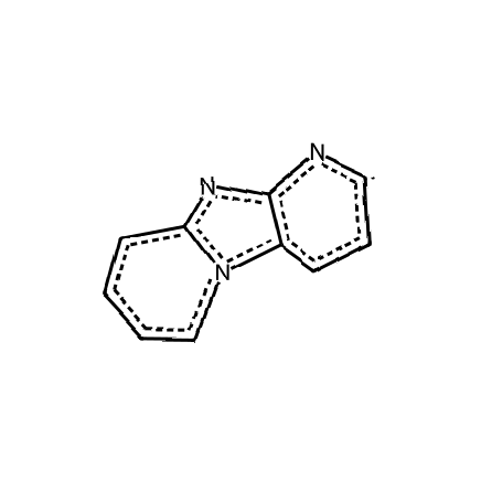 [c]1ccc2c(n1)nc1ccccn12